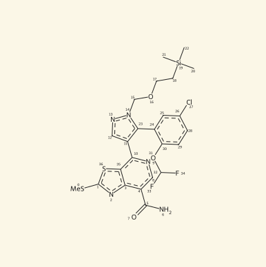 CSc1nc2c(C(N)=O)cnc(-c3cnn(COCC[Si](C)(C)C)c3-c3cc(Cl)ccc3OC(F)F)c2s1